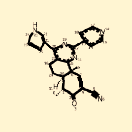 C[C@H]1C(=O)C(C#N)=C[C@@]2(C)c3nc(-c4ccncc4)nc(C4=CNCC=C4)c3CC[C@H]12